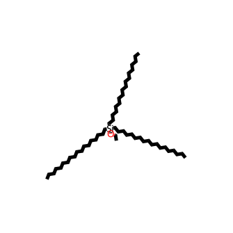 CCCCCCCCCCCCCCCCCC[Si](CCCCCCCCCCCCCCCCCC)(CCCCCCCCCCCCCCCCCC)OCC